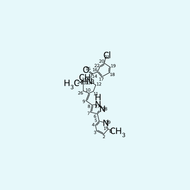 Cc1cccc(-c2cc(/C=C3\CCN(C(=O)c4cccc(Cl)c4)C(C)(C)C3)[nH]n2)n1